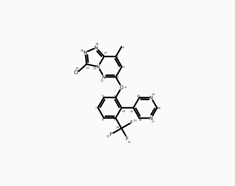 Cc1cc(Oc2cccc(C(F)(F)F)c2-c2cncnc2)nn2c(Cl)nnc12